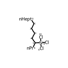 CCCCCCCCCCCC(CCC)[Si](Cl)(Cl)Cl